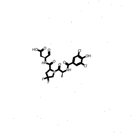 C[C@H](NC(=O)c1cc(Cl)c(O)c(Cl)c1)C(=O)N1CC(F)(F)CC1C(=O)N[C@H](C=O)CC(=O)O